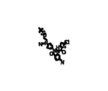 CC(C)(C)[Si](C)(C)OCCN(C#N)c1ccc(NC(=O)c2ccc(C#N)cc2NC(=O)c2ccc(Cl)s2)cc1